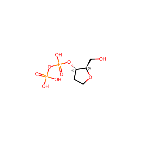 O=P(O)(O)OP(=O)(O)O[C@H]1C[CH]O[C@@H]1CO